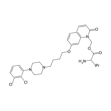 CC(C)C(N)C(=O)OCn1c(=O)ccc2ccc(OCCCCN3CCN(c4cccc(Cl)c4Cl)CC3)cc21